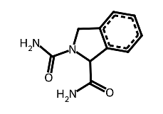 NC(=O)C1c2ccccc2CN1C(N)=O